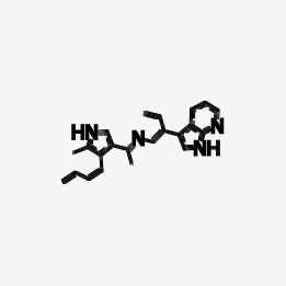 C=C/C=C\c1c(/C(C)=N/C=C(\C=C)c2c[nH]c3ncccc23)c[nH]c1C